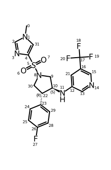 Cn1cnc(S(=O)(=O)N2C[C@@H](Nc3cncc(C(F)(F)F)c3)[C@H](c3ccc(F)cc3)C2)c1